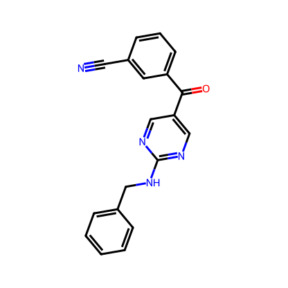 N#Cc1cccc(C(=O)c2cnc(NCc3ccccc3)nc2)c1